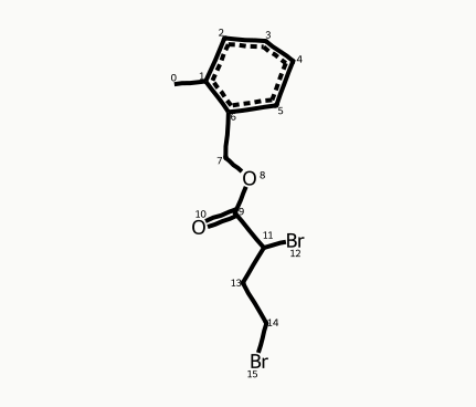 Cc1ccccc1COC(=O)C(Br)CCBr